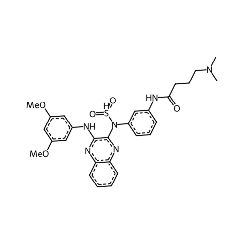 COc1cc(Nc2nc3ccccc3nc2N(c2cccc(NC(=O)CCCN(C)C)c2)[SH](=O)=O)cc(OC)c1